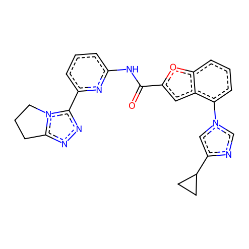 O=C(Nc1cccc(-c2nnc3n2CCC3)n1)c1cc2c(-n3cnc(C4CC4)c3)cccc2o1